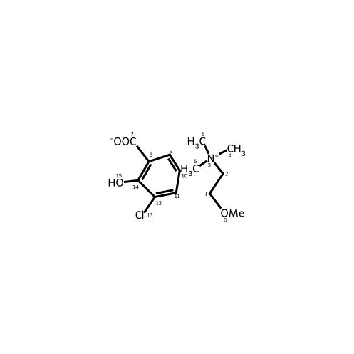 COCC[N+](C)(C)C.O=C([O-])c1cccc(Cl)c1O